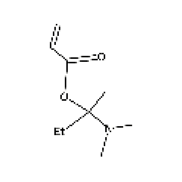 C=CC(=O)OC(C)(CC)N(C)C